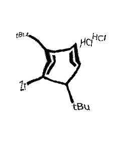 CC(C)(C)C1=[C]([Zr])C(C(C)(C)C)C=C1.Cl.Cl